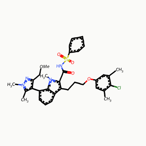 COCc1nn(C)c(C)c1-c1cccc2c(CCCOc3cc(C)c(Cl)c(C)c3)c(C(=O)NS(=O)(=O)c3ccccc3)n(C)c12